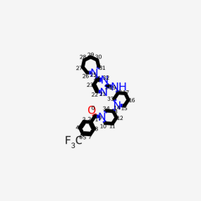 O=C(c1ccc(C(F)(F)F)cc1)N1CCCC(N2CCCC(Nc3nccc(N4CCCCCC4)n3)C2)C1